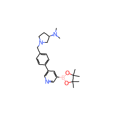 CN(C)[C@@H]1CCN(Cc2ccc(-c3cncc(B4OC(C)(C)C(C)(C)O4)c3)cc2)C1